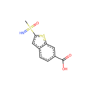 CS(=N)(=O)c1cc2ccc(C(=O)O)cc2s1